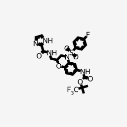 CC(C)(OC(=O)Nc1ccc2c(c1)N(S(=O)(=O)c1ccc(F)cc1)CC(CNC(=O)c1ncc[nH]1)O2)C(F)(F)F